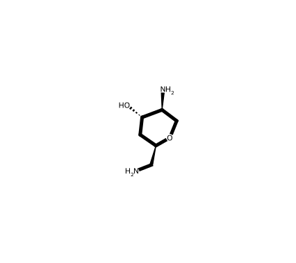 NC[C@H]1C[C@H](O)[C@@H](N)CO1